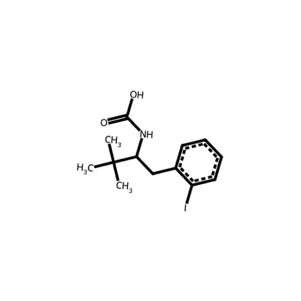 CC(C)(C)C(Cc1ccccc1I)NC(=O)O